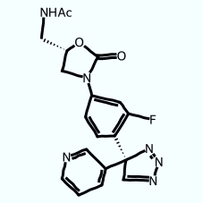 CC(=O)NC[C@H]1CN(c2ccc([C@@]3(c4cccnc4)C=NN=N3)c(F)c2)C(=O)O1